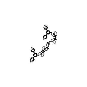 CC(C)(CCOC(=O)C(C)(C)CC(C)(C)C(=O)OCc1cc(-c2ccncc2)cc(-c2ccncc2)c1)OCC(C)(C)OC(=O)C(C)(C)C(C)(C)C(=O)OCc1cc(-c2ccncc2)cc(-c2ccncc2)c1